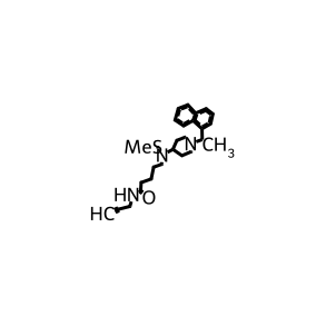 C#CCNC(=O)CCCCN(SC)C1CCN(C(C)c2cccc3ccccc23)CC1